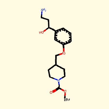 CC(C)(C)OC(=O)N1CCC(COc2cccc(C(O)CCN)c2)CC1